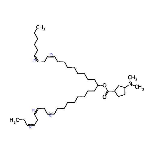 CC/C=C\C/C=C\C/C=C\CCCCCCCCC(CCCCCCCC/C=C\C/C=C\CCCCC)OC(=O)C1CCC(N(C)C)C1